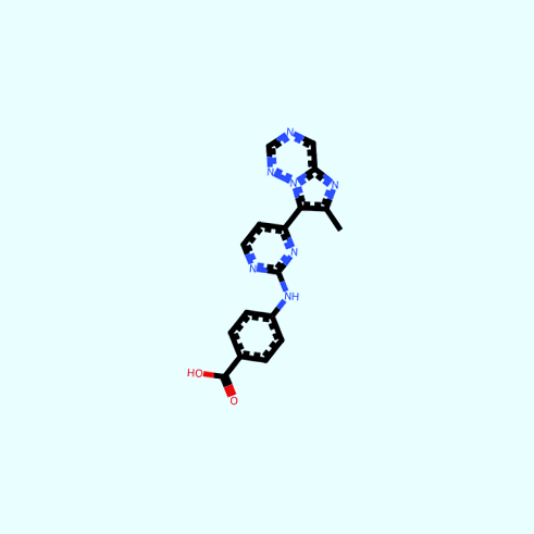 Cc1nc2cncnn2c1-c1ccnc(Nc2ccc(C(=O)O)cc2)n1